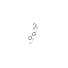 [2H]C1([2H])c2ncccc2C(=O)N1Cc1c(F)cc(-c2cccc3c2cnn3C(C)C)cc1F